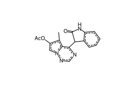 CC(=O)Oc1cn2ncnc(C3C(=O)Nc4ccccc43)c2c1C